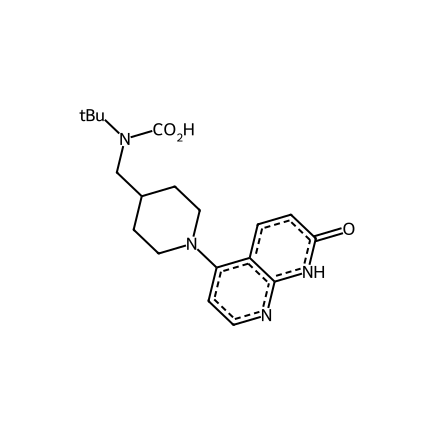 CC(C)(C)N(CC1CCN(c2ccnc3[nH]c(=O)ccc23)CC1)C(=O)O